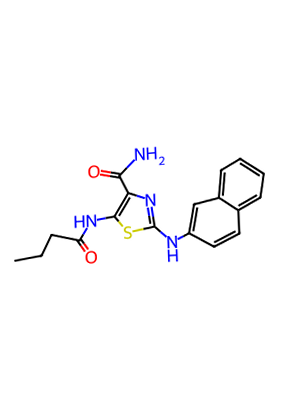 CCCC(=O)Nc1sc(Nc2ccc3ccccc3c2)nc1C(N)=O